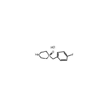 Cl.O=P1(Cc2ccc(F)cc2)CCNCC1